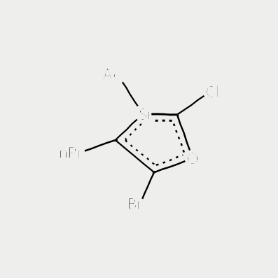 CCCc1c(Br)oc(Cl)[si]1C(C)=O